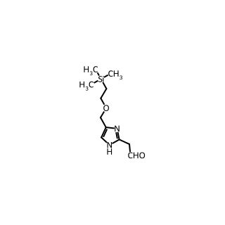 C[Si](C)(C)CCOCc1c[nH]c(CC=O)n1